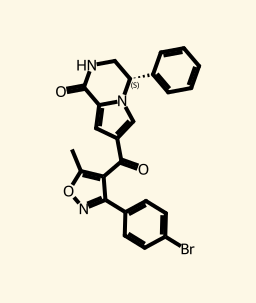 Cc1onc(-c2ccc(Br)cc2)c1C(=O)c1cc2n(c1)[C@@H](c1ccccc1)CNC2=O